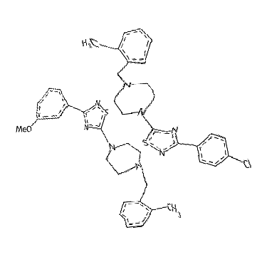 COc1cccc(-c2nsc(N3CCN(Cc4ccccc4C)CC3)n2)c1.Cc1ccccc1CN1CCN(c2nc(-c3ccc(Cl)cc3)ns2)CC1